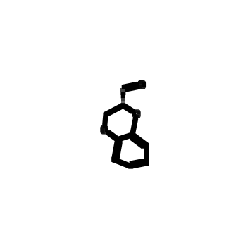 O=C[C@H]1COc2ccccc2O1